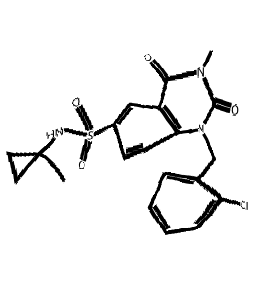 Cn1c(=O)c2cc(S(=O)(=O)NC3(C)CC3)ccc2n(Cc2ccccc2Cl)c1=O